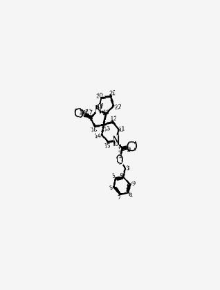 O=C(OCc1ccccc1)N1CCC2(CC1)CC(=O)N1CCCC12